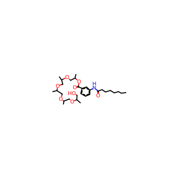 CCCCCCCC(=O)Nc1cccc(C(=O)OC(C)COC(C)COC(C)COC(C)COC(C)CO)c1